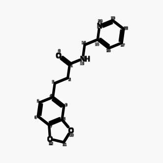 O=C(CCc1ccc2c(c1)OCO2)NCc1ccccn1